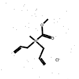 C=CC[N+](C)(CC=C)C(=O)OC.[Cl-]